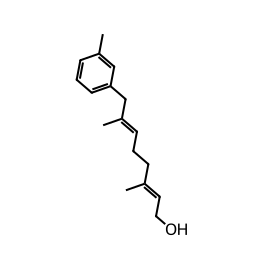 C/C(=C\CO)CC/C=C(\C)Cc1cccc(C)c1